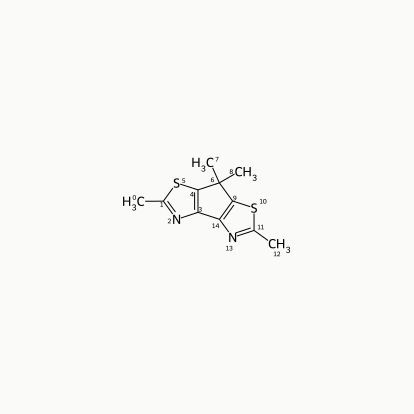 Cc1nc2c(s1)C(C)(C)c1sc(C)nc1-2